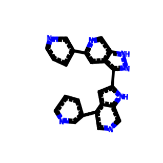 c1cncc(-c2cc3c(-c4cc5c(-c6cccnc6)cncc5[nH]4)n[nH]c3cn2)c1